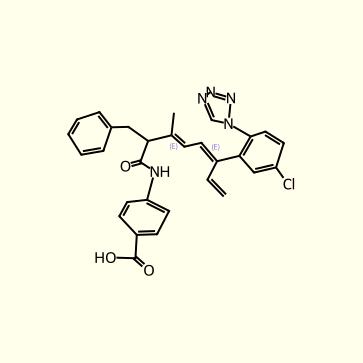 C=C/C(=C\C=C(/C)C(Cc1ccccc1)C(=O)Nc1ccc(C(=O)O)cc1)c1cc(Cl)ccc1-n1cnnn1